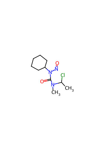 CC(Cl)N(C)C(=O)N(N=O)C1CCCCC1